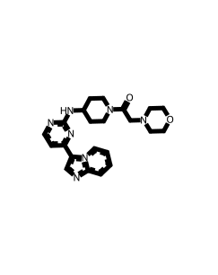 O=C(CN1CCOCC1)N1CCC(Nc2nccc(-c3cnc4ccccn34)n2)CC1